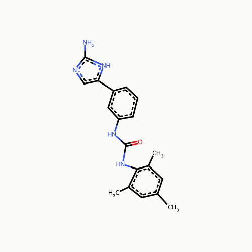 Cc1cc(C)c(NC(=O)Nc2cccc(-c3cnc(N)[nH]3)c2)c(C)c1